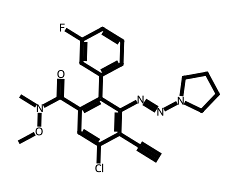 C#Cc1c(Cl)cc(C(=O)N(C)OC)c(-c2cccc(F)c2)c1N=NN1CCCC1